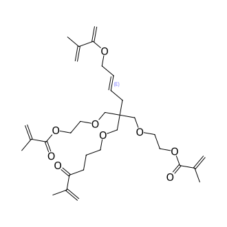 C=C(C)C(=C)OC/C=C/CC(COCCCC(=O)C(=C)C)(COCCOC(=O)C(=C)C)COCCOC(=O)C(=C)C